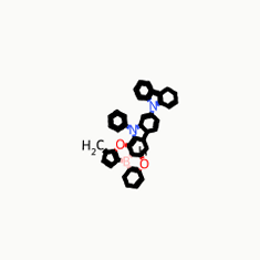 C=C1C=CC2=C1OC1=C3C(C[C@@H]4OC5=C(CCC=C5)B2C14)C1C=CC(n2c4c(c5ccccc52)CCC=C4)=CC1N3c1ccccc1